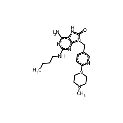 CCCCNc1nc(N)c2[nH]c(=O)n(Cc3ccc(N4CCN(C)CC4)nc3)c2n1